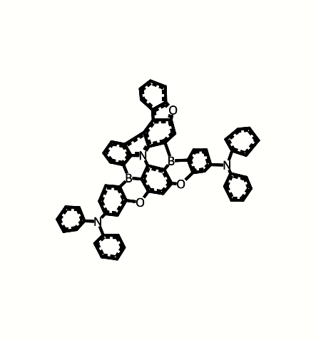 c1ccc(N(c2ccccc2)c2ccc3c(c2)Oc2cc4c5c6c2B3c2cccc3c7c8c(cc(c7n-6c23)B5c2ccc(N(c3ccccc3)c3ccccc3)cc2O4)oc2ccccc28)cc1